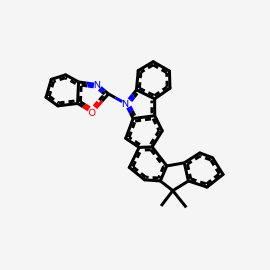 CC1(C)c2ccccc2-c2c1ccc1cc3c(cc21)c1ccccc1n3-c1nc2ccccc2o1